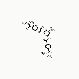 CNc1cc(NC(=O)c2ccc(C(=O)N(C)C)cc2)nc(NC(=O)c2ccc(C(=O)N(C)C)cc2)n1